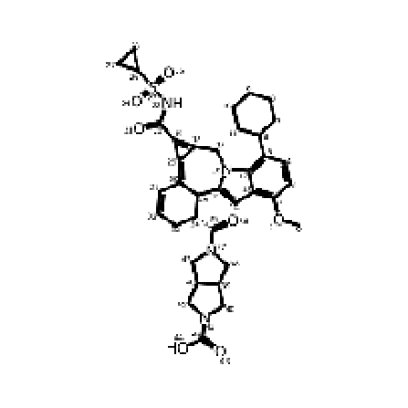 COc1ccc(C2CCCCC2)c2c1cc1n2CC2=C(C(=O)NS(=O)(=O)C3CC3)C2=C2C=CC[C@@H](C(=O)N3CC4CN(C(=O)O)CC4C3)C21